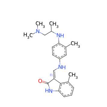 Cc1cc(N/C=C2/C(=O)Nc3cccc(C)c32)ccc1NC(C)CN(C)C